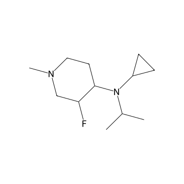 CC(C)N(C1CC1)C1CCN(C)CC1F